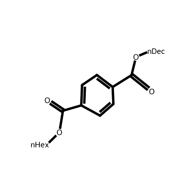 CCCCCCCCCCOC(=O)c1ccc(C(=O)OCCCCCC)cc1